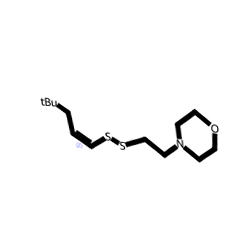 CC(C)(C)C/C=C\SSCCN1CCOCC1